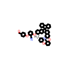 Cc1ccc(Oc2cccc(Oc3ccc4cc(C5(c6ccc7cc(Oc8cccc(Oc9ccc(C=O)cc9)c8C#N)ccc7c6)c6ccccc6-c6ccccc65)ccc4c3)c2C#N)cc1